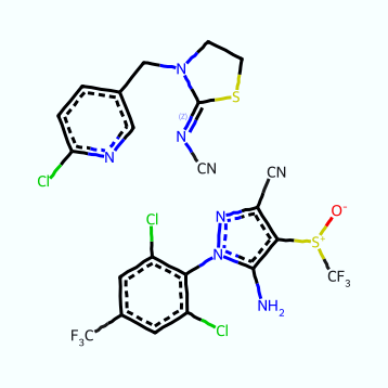 N#C/N=C1\SCCN1Cc1ccc(Cl)nc1.N#Cc1nn(-c2c(Cl)cc(C(F)(F)F)cc2Cl)c(N)c1[S+]([O-])C(F)(F)F